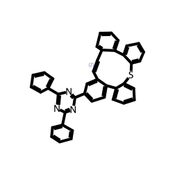 C1=C\c2cc(-c3nc(-c4ccccc4)nc(-c4ccccc4)n3)ccc2-c2ccccc2Sc2ccccc2-c2ccccc2/1